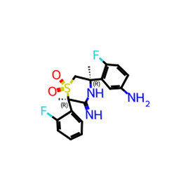 C[C@@]1(c2ccccc2F)C(=N)N[C@](C)(c2cc(N)ccc2F)CS1(=O)=O